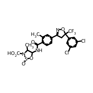 Cc1cc(C2=NOC(c3cc(Cl)cc(Cl)c3)(C(F)(F)F)C2)ccc1C(=O)NC1OS(=O)N(C(=O)O)C1C